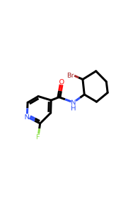 O=C(NC1CCCCC1Br)c1ccnc(F)c1